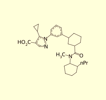 CCCC1CCCCC1N(C)C(=O)C1CCCC(c2cccc(-n3ncc(C(=O)O)c3C3CC3)c2)C1